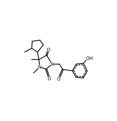 CC1CCCC1C1(C)C(=O)N(CC(=O)c2cccc(O)c2)C(=O)N1C